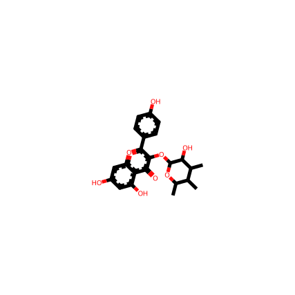 CC1OC(Oc2c(-c3ccc(O)cc3)oc3cc(O)cc(O)c3c2=O)C(O)C(C)C1C